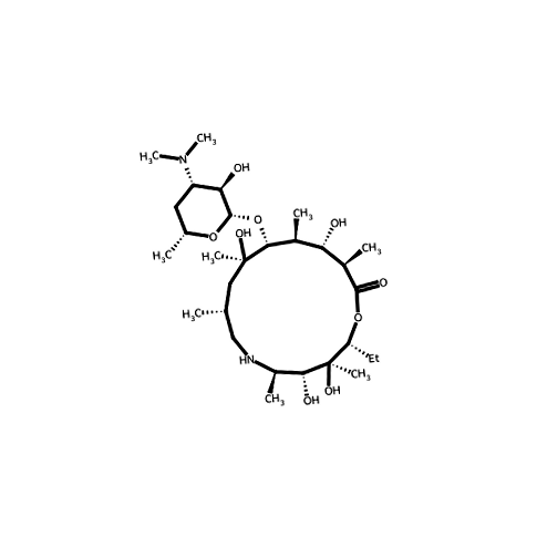 CC[C@H]1OC(=O)[C@H](C)[C@@H](O)[C@H](C)[C@@H](O[C@@H]2O[C@H](C)C[C@H](N(C)C)[C@H]2O)[C@](C)(O)C[C@@H](C)CN[C@H](C)[C@@H](O)[C@]1(C)O